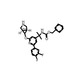 CC(C)(NC(=O)OCc1ccccc1)c1cc(OC2[C@H]3CNC[C@@H]23)nc(-c2ccc(F)c(F)c2)c1